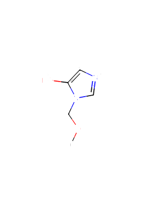 CCOCn1cncc1O